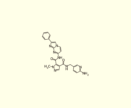 Cn1ncc(C(=O)NCc2ccc(N)nc2)c1C(=O)Nc1ccn2cc(-c3ccccc3)nc2n1